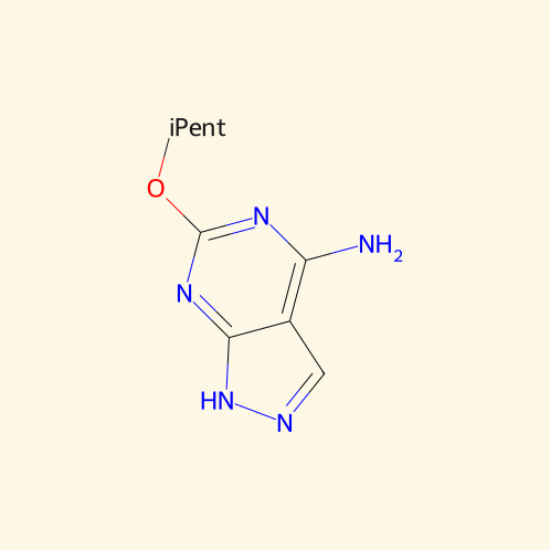 CCCC(C)Oc1nc(N)c2cn[nH]c2n1